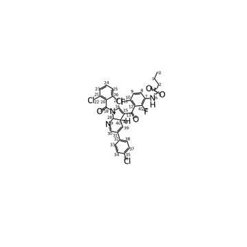 CCCS(=O)(=O)Nc1ccc(F)c(C(=O)C2=CN(C(=O)c3c(Cl)cccc3Cl)C3N=CC(c4ccc(Cl)cc4)=C[C@@H]23)c1F